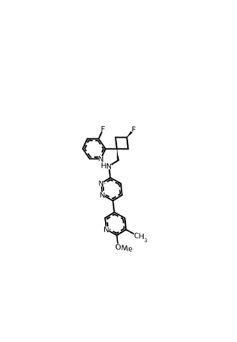 COc1ncc(-c2ccc(NC[C@]3(c4ncccc4F)C[C@H](F)C3)nn2)cc1C